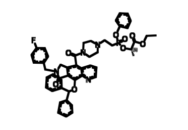 CCOC(=O)[C@H](C)OP(=O)(CCN1CCN(C(=O)c2c3c(c(OC(c4ccccc4)c4ccccc4)c4ncccc24)C(=O)N(Cc2ccc(F)cc2)C3)CC1)Oc1ccccc1